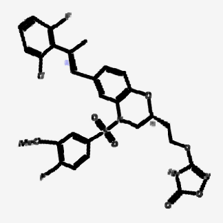 COc1cc(S(=O)(=O)N2C[C@H](CCOc3noc(=O)[nH]3)Oc3ccc(/C=C(\C)c4c(F)cccc4Cl)cc32)ccc1F